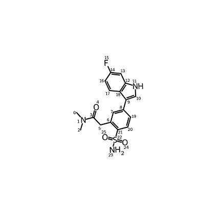 CN(C)C(=O)Cc1cc(-c2c[nH]c3cc(F)ccc23)ccc1S(N)(=O)=O